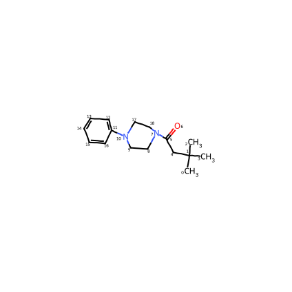 CC(C)(C)CC(=O)N1CCN(c2ccccc2)CC1